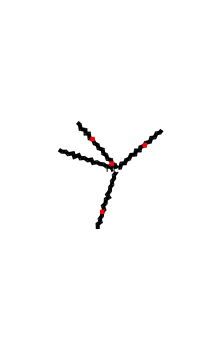 CCCCCCCCCCCCCCCCCCC[PH](CCCCCCCCCCCCCCCCCC)(CCCCCCCCCCCCCCCCCC)CCCCCCCCCCCCCCCCCC